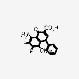 COc1c(F)c(F)c(N)c2c1C(c1ccccc1)C=C(C(=O)O)C2=O